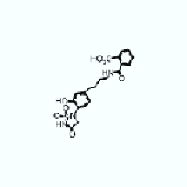 O=C1CN(c2ccc(CCCCNC(=O)c3ccccc3C(=O)O)cc2O)S(=O)(=O)N1